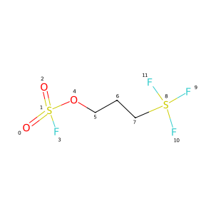 O=S(=O)(F)OCCCS(F)(F)F